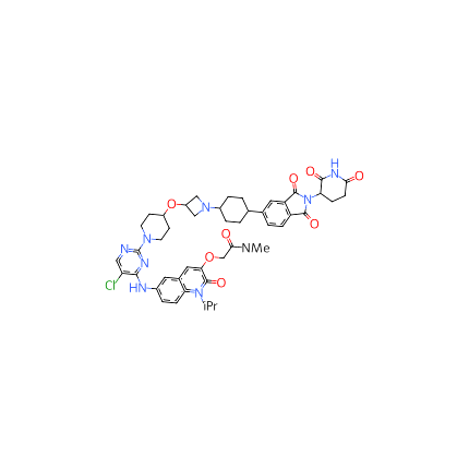 CNC(=O)COc1cc2cc(Nc3nc(N4CCC(OC5CN(C6CCC(c7ccc8c(c7)C(=O)N(C7CCC(=O)NC7=O)C8=O)CC6)C5)CC4)ncc3Cl)ccc2n(C(C)C)c1=O